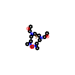 c1ccc(-n2c3ccccc3c3cc(-c4ccc5c(c4)c4c6sc7c(ccc8c7c7cc(-c9ccc%10c(c9)c9ccccc9n%10-c9ccccc9)ccc7n8-c7ccc8oc9ccccc9c8c7)c6ccc4n5-c4ccc5oc6ccccc6c5c4)ccc32)cc1